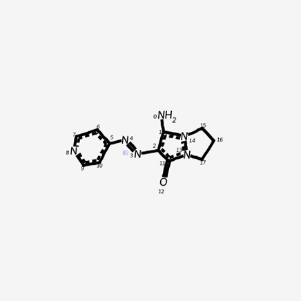 Nc1c(/N=N/c2ccncc2)c(=O)n2n1CCC2